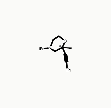 CC(C)C#C[C@]1(C)CN(C(C)C)CCO1